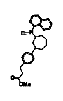 CCN(c1cccc2ccccc12)C1CCCCC(c2ccc(CCC(=O)OC)cc2)C1